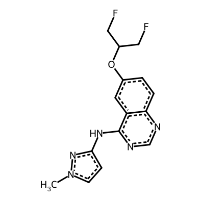 Cn1ccc(Nc2ncnc3ccc(OC(CF)CF)cc23)n1